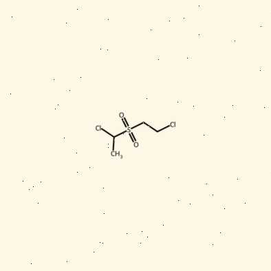 CC(Cl)S(=O)(=O)CCCl